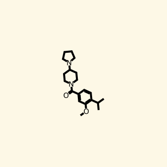 COc1cc(C(=O)N2CCC(N3CCCC3)CC2)ccc1C(C)C